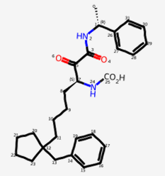 C[C@@H](NC(=O)C(=O)[C@H](CCCCC1(Cc2ccccc2)CCCC1)NC(=O)O)c1ccccc1